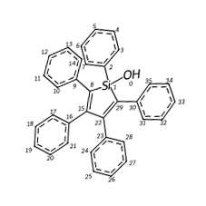 O[Si]1(c2ccccc2)C(c2ccccc2)=C(c2ccccc2)C(c2ccccc2)=C1c1ccccc1